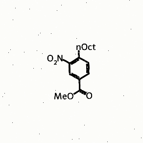 CCCCCCCCc1ccc(C(=O)OC)cc1[N+](=O)[O-]